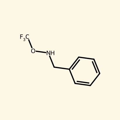 FC(F)(F)ONCc1ccccc1